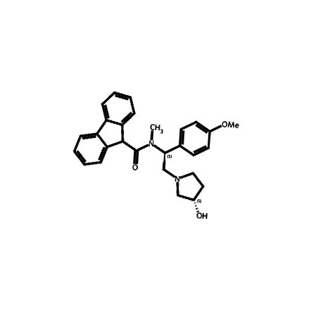 COc1ccc([C@@H](CN2CC[C@H](O)C2)N(C)C(=O)C2c3ccccc3-c3ccccc32)cc1